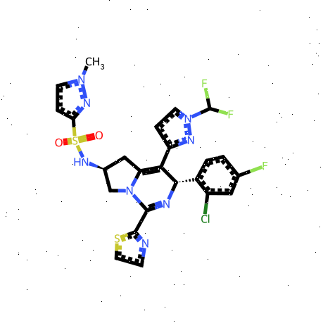 Cn1ccc(S(=O)(=O)N[C@H]2CC3=C(c4ccn(C(F)F)n4)[C@H](c4ccc(F)cc4Cl)N=C(c4nccs4)N3C2)n1